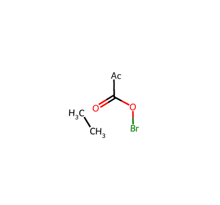 CC.CC(=O)C(=O)OBr